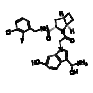 NC(O)c1cn(CC(=O)N2[C@@H]3CC[C@@H]3C[C@H]2C(=O)NCc2cccc(Cl)c2F)c2cc(O)ccc12